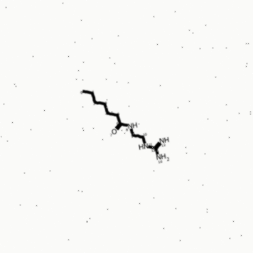 CCCCCCC(=O)NCCNC(=N)N